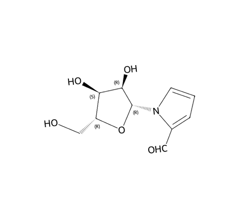 O=Cc1cccn1[C@@H]1O[C@H](CO)[C@@H](O)[C@H]1O